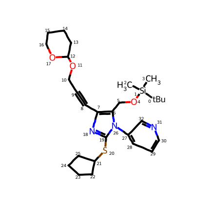 CC(C)(C)[Si](C)(C)OCc1c(C#CCOC2CCCCO2)nc(SC2CCCC2)n1-c1cccnc1